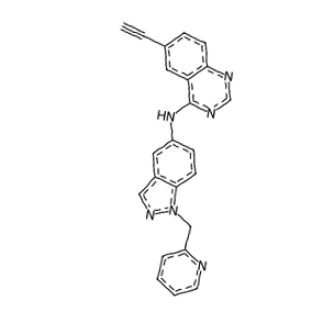 C#Cc1ccc2ncnc(Nc3ccc4c(cnn4Cc4ccccn4)c3)c2c1